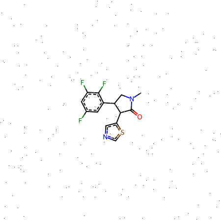 CN1CC(c2cc(F)cc(F)c2F)C(c2cncs2)C1=O